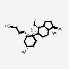 C=C1CCC2[C@H](CO)C([C@@]3(C)CC[C@H](O)C[C@@H]3/C=C/CO)CC[C@]12C